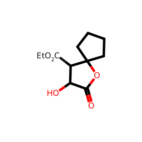 CCOC(=O)C1C(O)C(=O)OC12CCCC2